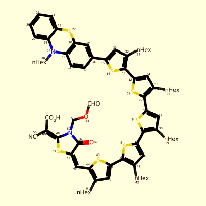 CCCCCCc1cc(-c2sc(-c3sc(-c4sc(-c5sc(-c6ccc7c(c6)Sc6ccccc6N7CCCCCC)cc5CCCCCC)cc4CCCCCC)cc3CCCCCC)cc2CCCCCC)sc1/C=c1/s/c(=C(\C#N)C(=O)O)n(COC=O)c1=O